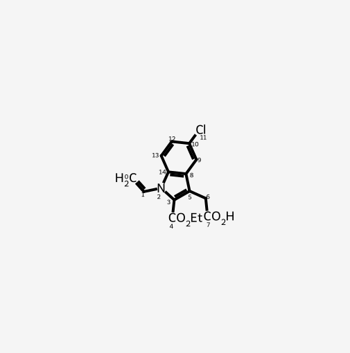 C=Cn1c(C(=O)OCC)c(CC(=O)O)c2cc(Cl)ccc21